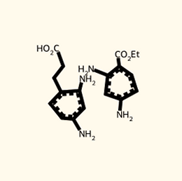 CCOC(=O)c1ccc(N)cc1N.Nc1ccc(CCC(=O)O)c(N)c1